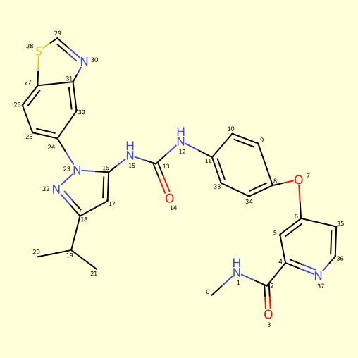 CNC(=O)c1cc(Oc2ccc(NC(=O)Nc3cc(C(C)C)nn3-c3ccc4scnc4c3)cc2)ccn1